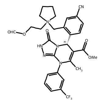 COC(=O)C1=C(C)N(c2cccc(C(F)(F)F)c2)c2n[nH]c(=O)n2[C@@H]1c1ccc(C#N)cc1C[N+]1(CCOC=O)CCCC1